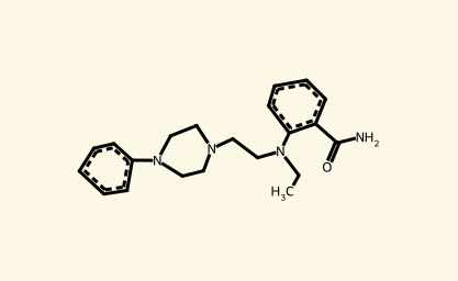 CCN(CCN1CCN(c2ccccc2)CC1)c1ccccc1C(N)=O